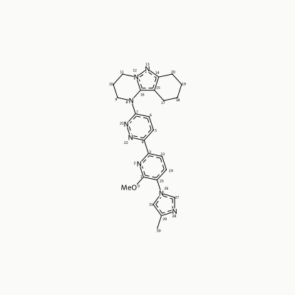 COc1nc(-c2ccc(N3CCCn4nc5c(c43)CCCC5)nn2)ccc1-n1cnc(C)c1